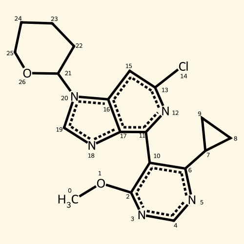 COc1ncnc(C2CC2)c1-c1nc(Cl)cc2c1ncn2C1CCCCO1